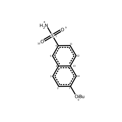 CC(C)COc1ccc2cc(S(N)(=O)=O)ccc2c1